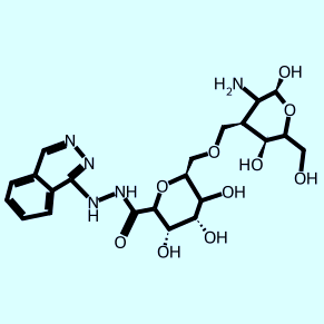 NC1[C@@H](O)OC(CO)[C@@H](O)[C@H]1COC[C@@H]1OC(C(=O)NNc2nncc3ccccc23)[C@@H](O)[C@@H](O)C1O